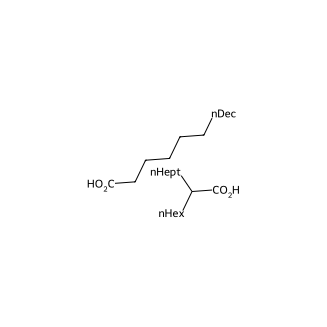 CCCCCCCC(CCCCCC)C(=O)O.CCCCCCCCCCCCCCCC(=O)O